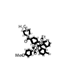 CCOc1ncccc1C1(Nc2ccc(C(=O)N3CCN(C)CC3)cc2)C(=O)N(S(=O)(=O)c2ccc(OC)cc2)c2ccc(I)cc21